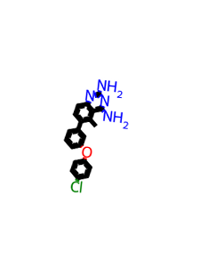 Cc1c(-c2cccc(Oc3ccc(Cl)cc3)c2)ccc2nc(N)nc(N)c12